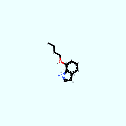 CCCCOc1cccc2cc[nH]c12